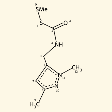 CSSC(=O)NCc1cc(C)nn1C